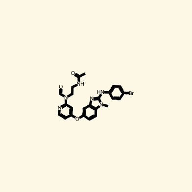 CC(=O)NCCN(C=O)c1cc(Oc2ccc3c(c2)nc(Nc2ccc(Br)cc2)n3C)ccn1